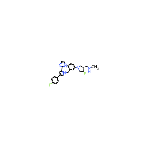 CNC[C@@H]1CN(c2ccc3c(c2)Cn2cc(-c4ccc(F)cc4)cc2-c2nccn2-3)C[C@@H]1F